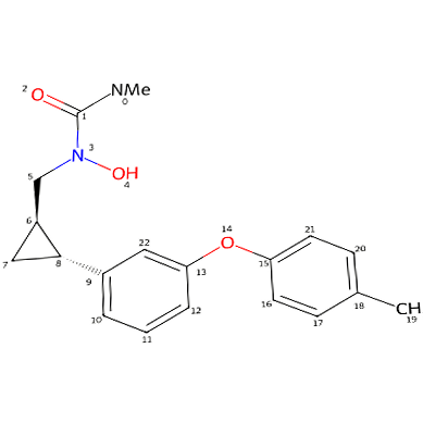 CNC(=O)N(O)C[C@@H]1C[C@H]1c1cccc(Oc2ccc(C)cc2)c1